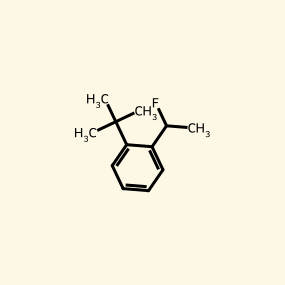 CC(F)c1ccccc1C(C)(C)C